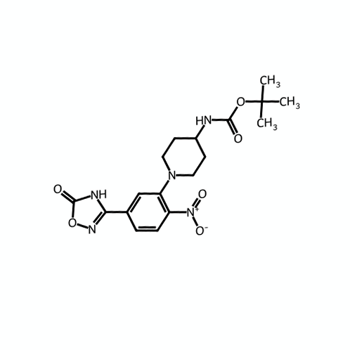 CC(C)(C)OC(=O)NC1CCN(c2cc(-c3noc(=O)[nH]3)ccc2[N+](=O)[O-])CC1